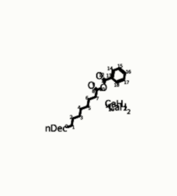 CCCCCCCCCCCCCCCCCC(=O)OC(=O)c1ccccc1.[CaH2].[CaH2]